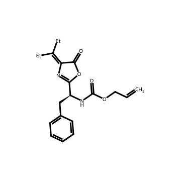 C=CCOC(=O)N[C@@H](Cc1ccccc1)C1=NC(=C(CC)CC)C(=O)O1